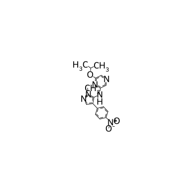 CC(C)Oc1cncc(Nc2c(-c3ccc([N+](=O)[O-])cc3)cnn2C)n1